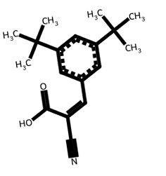 CC(C)(C)c1cc(C=C(C#N)C(=O)O)cc(C(C)(C)C)c1